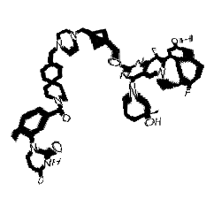 C#Cc1c(F)ccc2cc(O)cc(-c3ncc4c(N5CCC[C@@](C)(O)C5)nc(OCC56CC(CN7CCN(CC8CCC9(CC8)CCN(C(=O)c8ccc(C)c(N%10CCC(=O)NC%10=O)c8)CC9)CC7)(C5)C6)nc4c3F)c12